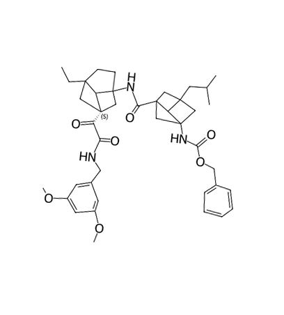 CCC12CCC3(NC(=O)C45CC6(CC(C)C)CC(NC(=O)OCc7ccccc7)(C4)C65)C[C@@](C(=O)C(=O)NCc4cc(OC)cc(OC)c4)(C1)C23